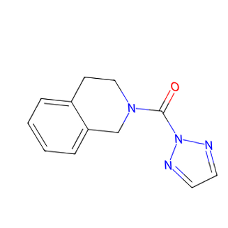 O=C(N1CCc2ccccc2C1)n1nccn1